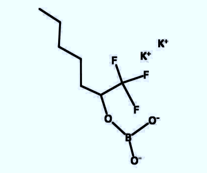 CCCCCC(OB([O-])[O-])C(F)(F)F.[K+].[K+]